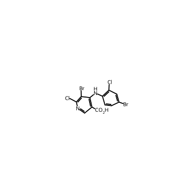 O=C(O)c1cnc(Cl)c(Br)c1Nc1ccc(Br)cc1Cl